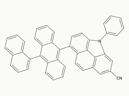 N#Cc1cc2ccc3c(-c4c5ccccc5c(-c5cccc6ccccc56)c5ccccc45)ccc4c3c2c(c1)n4-c1ccccc1